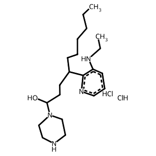 CCCCCCC(CCC(O)N1CCNCC1)c1ncccc1NCC.Cl.Cl